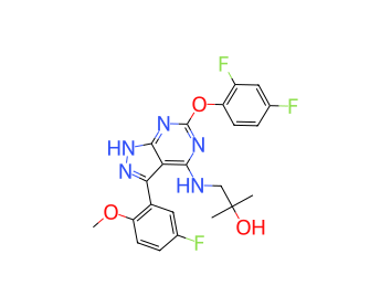 COc1ccc(F)cc1-c1n[nH]c2nc(Oc3ccc(F)cc3F)nc(NCC(C)(C)O)c12